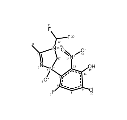 CC1=N[N+]([O-])(c2c(F)cc(Cl)c(O)c2[N+](=O)[O-])CN1C(F)F